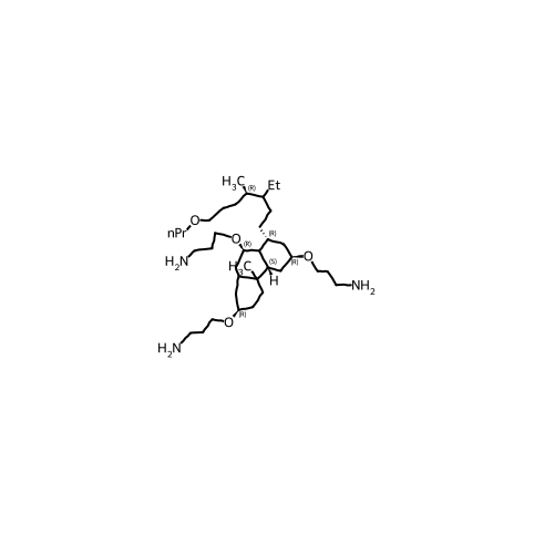 CCCOCCC[C@@H](C)C(CC)CC[C@@H]1C[C@@H](OCCCN)C[C@H]2C1[C@H](OCCCN)CC1C[C@H](OCCCN)CCC12C